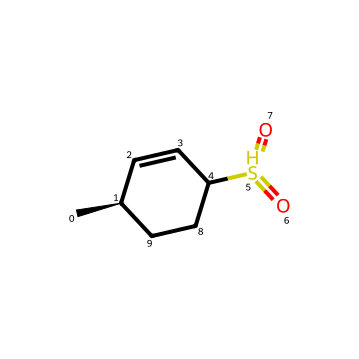 C[C@H]1C=CC([SH](=O)=O)CC1